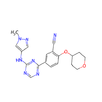 Cn1cc(Nc2ncnc(-c3ccc(OC4CCOCC4)c(C#N)c3)n2)cn1